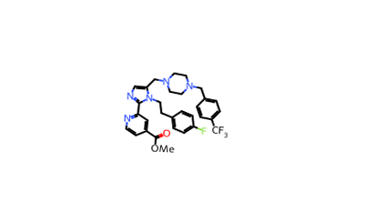 COC(=O)c1ccnc(-c2ncc(CN3CCN(Cc4ccc(C(F)(F)F)cc4)CC3)n2CCc2ccc(F)cc2)c1